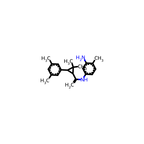 C=C(Nc1ccc(C)c(N)c1)C1C(c2cc(C)cc(C)c2)C1(C)C